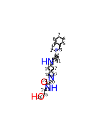 CC/C(=C\c1ccccc1)[C@@H]1C[C@H]1NC1CC2(C1)CN(CC(=O)NCCO)C2